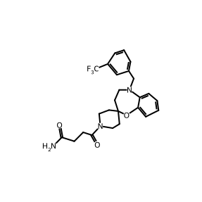 NC(=O)CCC(=O)N1CCC2(CC1)CCN(Cc1cccc(C(F)(F)F)c1)c1ccccc1O2